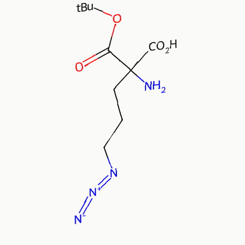 CC(C)(C)OC(=O)C(N)(CCCN=[N+]=[N-])C(=O)O